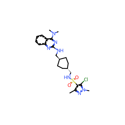 Cc1nn(C)c(Cl)c1S(=O)(=O)NC[C@H]1CC[C@H](CNc2nc(N(C)C)c3ccccc3n2)CC1